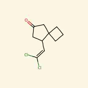 O=C1CC(C=C(Cl)Cl)C2(CCC2)C1